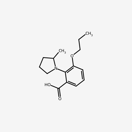 CCCOc1cccc(C(=O)O)c1N1CCCC1C